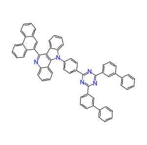 c1ccc(-c2cccc(-c3nc(-c4ccc(-n5c6ccccc6c6c(-c7cc8ccccc8c8ccccc78)nc7ccccc7c65)cc4)nc(-c4cccc(-c5ccccc5)c4)n3)c2)cc1